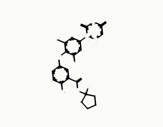 O=C(NC1(O)CCCC1)c1cc(Oc2c(Cl)cc(-n3ncc(=O)[nH]c3=O)cc2Cl)ccc1O